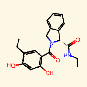 CCNC(=O)[C@H]1c2ccccc2CN1C(=O)c1cc(CC)c(O)cc1O